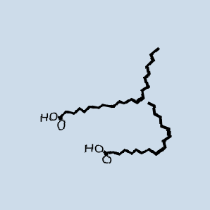 CCCCC/C=C\C/C=C\CCCCCCCC(=O)O.CCCCCCCC/C=C\CCCCCCCCCCCC(=O)O